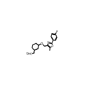 Cc1oc(-c2ccc(F)cc2)nc1COC1CCCC(CC=O)C1